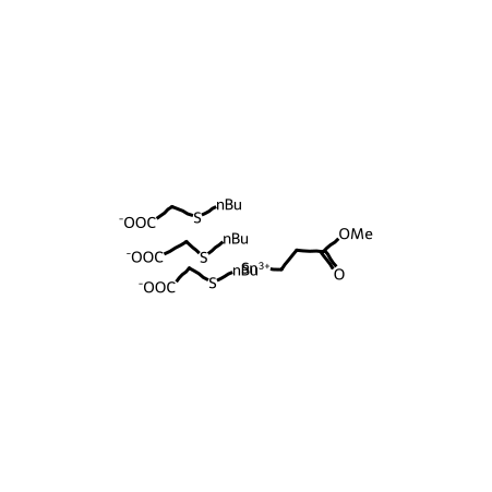 CCCCSCC(=O)[O-].CCCCSCC(=O)[O-].CCCCSCC(=O)[O-].COC(=O)C[CH2][Sn+3]